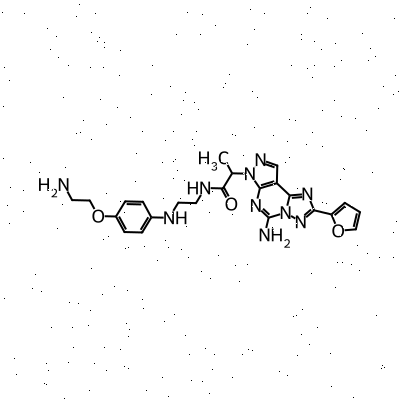 CC(C(=O)NCCNc1ccc(OCCN)cc1)n1ncc2c1nc(N)n1nc(-c3ccco3)nc21